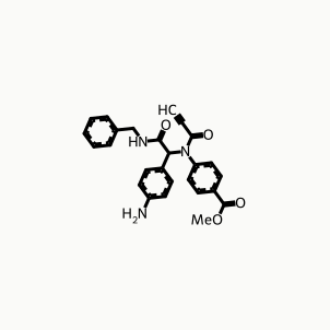 C#CC(=O)N(c1ccc(C(=O)OC)cc1)C(C(=O)NCc1ccccc1)c1ccc(N)cc1